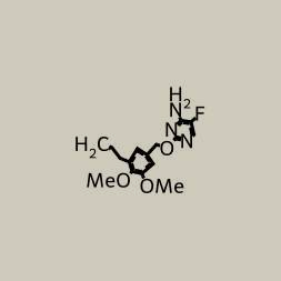 C=CCc1cc(COc2ncc(F)c(N)n2)cc(OC)c1OC